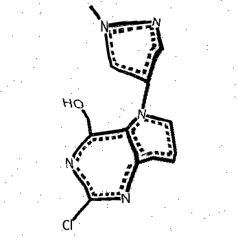 Cn1cc(-n2ccc3nc(Cl)nc(O)c32)cn1